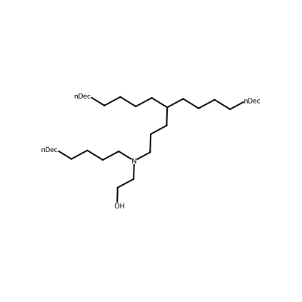 CCCCCCCCCCCCCCC(CCCCCCCCCCCCCC)CCCN(CCO)CCCCCCCCCCCCCC